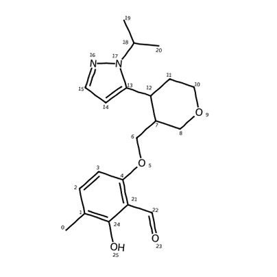 Cc1ccc(OCC2COCCC2c2ccnn2C(C)C)c(C=O)c1O